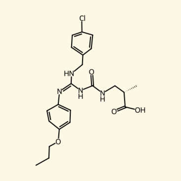 CCCOc1ccc(/N=C(/NCc2ccc(Cl)cc2)NC(=O)NC[C@H](C)C(=O)O)cc1